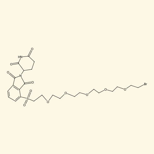 O=C1CCC(N2C(=O)c3cccc(S(=O)(=O)CCOCCOCCOCCOCCOCCBr)c3C2=O)C(=O)N1